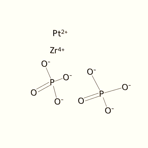 O=P([O-])([O-])[O-].O=P([O-])([O-])[O-].[Pt+2].[Zr+4]